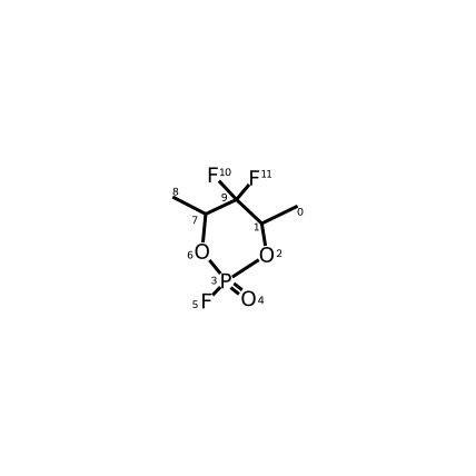 CC1OP(=O)(F)OC(C)C1(F)F